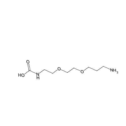 NCCCOCCOCCNC(=O)O